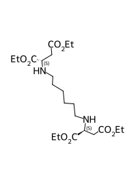 CCOC(=O)C[C@H](NCCCCCCN[C@@H](CC(=O)OCC)C(=O)OCC)C(=O)OCC